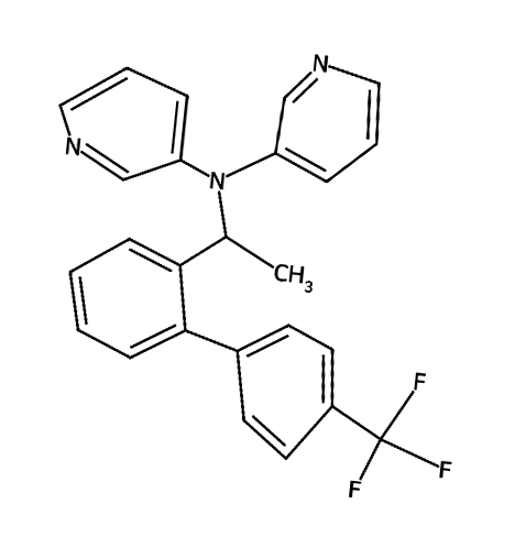 CC(c1ccccc1-c1ccc(C(F)(F)F)cc1)N(c1cccnc1)c1cccnc1